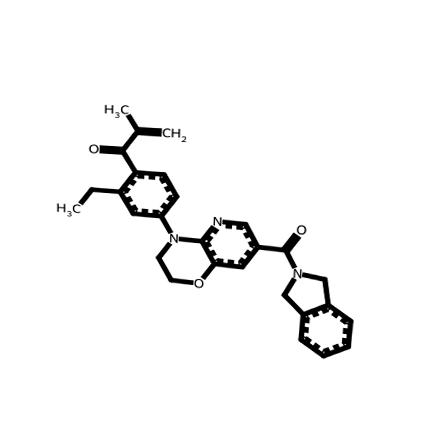 C=C(C)C(=O)c1ccc(N2CCOc3cc(C(=O)N4Cc5ccccc5C4)cnc32)cc1CC